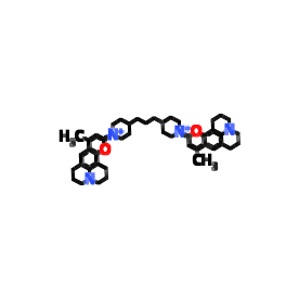 Cc1cc(=[N+]2CCC(CCCC3CC[N+](=c4cc(C)c5cc6c7c(c5o4)CCCN7CCC6)CC3)CC2)oc2c3c4c(cc12)CCCN4CCC3